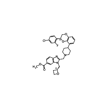 COC(=O)c1ccc2nc(CN3CCC(c4cccc5c4O[C@@H](c4ccc(Cl)cc4F)CO5)CC3)n(C[C@@H]3CCO3)c2c1